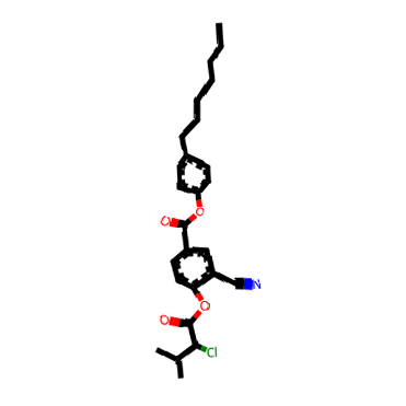 CCCCCCCc1ccc(OC(=O)c2ccc(OC(=O)C(Cl)C(C)C)c(C#N)c2)cc1